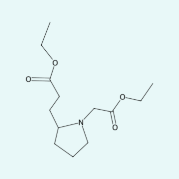 CCOC(=O)CCC1CCCN1CC(=O)OCC